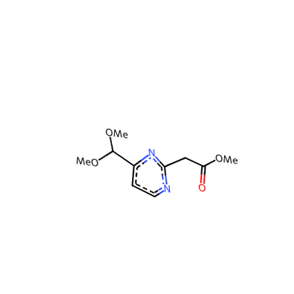 COC(=O)Cc1nccc(C(OC)OC)n1